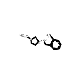 O=C(O)N1CC[C@@H](NCc2ccccc2[N+](=O)[O-])C1